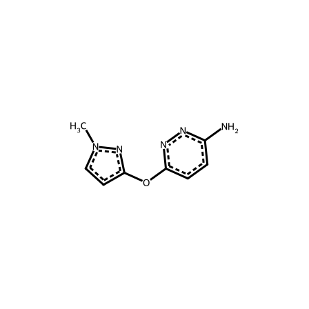 Cn1ccc(Oc2ccc(N)nn2)n1